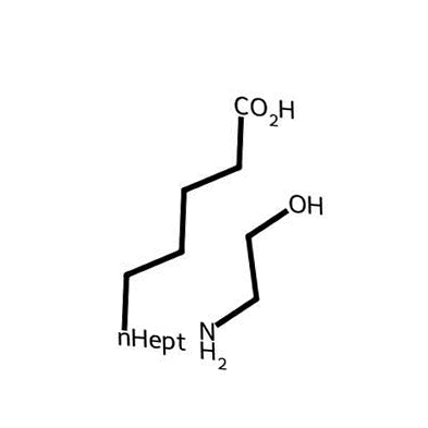 CCCCCCCCCCCC(=O)O.NCCO